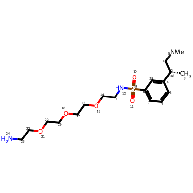 CNC[C@H](C)c1cccc(S(=O)(=O)NCCOCCOCCOCCN)c1